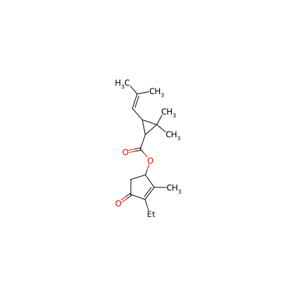 CCC1=C(C)C(OC(=O)C2C(C=C(C)C)C2(C)C)CC1=O